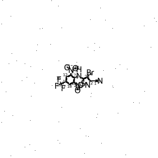 N#Cc1nsc(Nc2c([N+](=O)[O-])cc(C(F)(F)F)cc2[N+](=O)[O-])c1Br